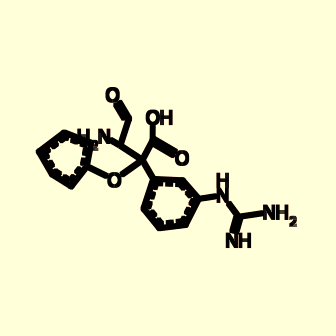 N=C(N)Nc1cccc(C(Oc2ccccc2)(C(=O)O)C(N)C=O)c1